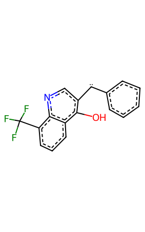 Oc1c([C]c2ccccc2)cnc2c(C(F)(F)F)cccc12